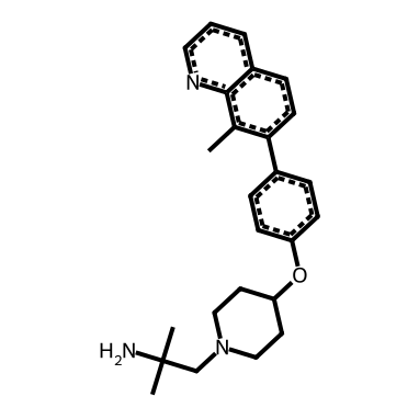 Cc1c(-c2ccc(OC3CCN(CC(C)(C)N)CC3)cc2)ccc2cccnc12